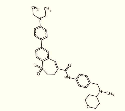 CCN(CC)c1ccc(-c2ccc3c(c2)C=C(C(=O)Nc2ccc(CN(C)C4CCOCC4)cc2)CCS3(=O)=O)cc1